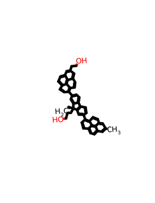 C=CC1(CCCO)c2cc(-c3ccc4ccc5cc(C)cc6ccc3c4c56)ccc2-c2ccc(-c3ccc4ccc5cc(CCO)cc6ccc3c4c56)cc21